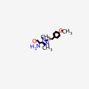 COc1ccc(CSc2nc(C)c(C(N)C=O)n2C)cc1